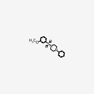 COc1cccc(S(=O)(=O)N2CCN(c3ccccc3)CC2)c1